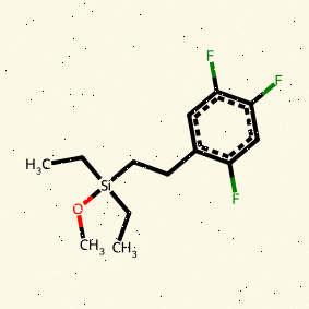 CC[Si](CC)(CCc1cc(F)c(F)cc1F)OC